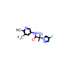 CCC(C)(C(=O)Nc1cnc(C#N)c(C(F)(F)F)c1)n1cc(F)cn1